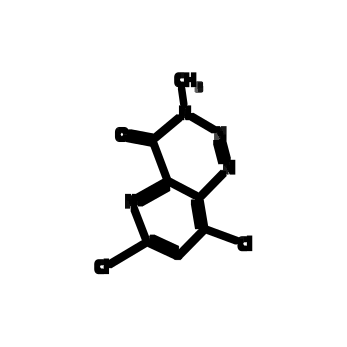 Cn1nnc2c(Cl)cc(Cl)nc2c1=O